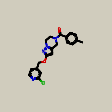 Cc1ccc(C(=O)N2CCn3nc(OCc4ccnc(Cl)c4)cc3C2)cc1